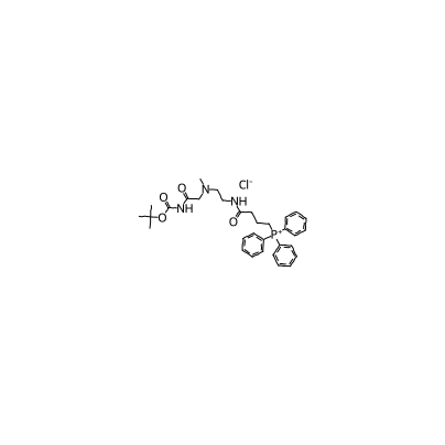 CN(CCNC(=O)CCC[P+](c1ccccc1)(c1ccccc1)c1ccccc1)CC(=O)NC(=O)OC(C)(C)C.[Cl-]